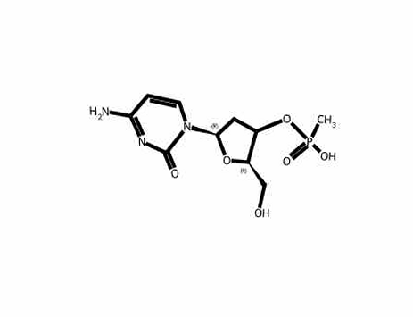 CP(=O)(O)OC1C[C@H](n2ccc(N)nc2=O)O[C@@H]1CO